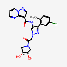 COc1ccc(Cl)cc1-c1nn(CC(=O)N2C[C@@H](O)[C@H](O)C2)cc1NC(=O)c1cnn2cccnc12